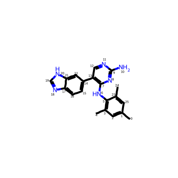 Cc1cc(C)c(Nc2nc(N)ncc2-c2ccc3nc[nH]c3c2)c(C)c1